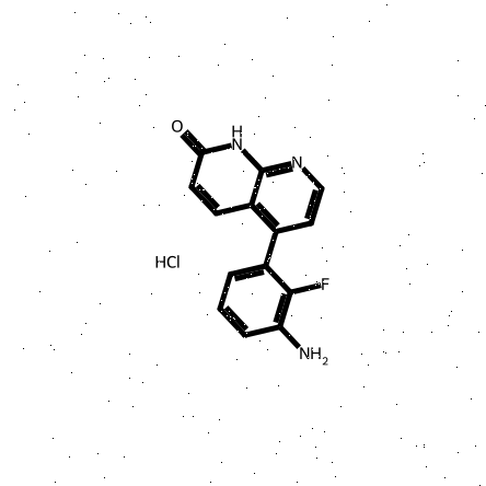 Cl.Nc1cccc(-c2ccnc3[nH]c(=O)ccc23)c1F